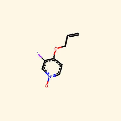 C=CCOc1cc[n+]([O-])cc1I